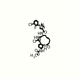 COC(=O)Nc1ccc2c(c1)NC(=O)CC/C=C/C[C@H](NC(=O)c1cn(-c3cccc(Cl)c3F)nn1)c1nc-2c(Cl)[nH]1